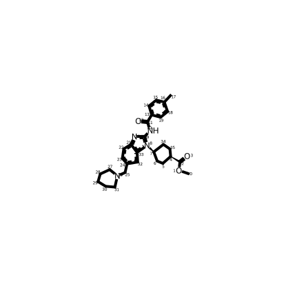 COC(=O)[C@H]1CC[C@@H](n2c(NC(=O)c3ccc(C)cc3)nc3ccc(CN4CCCCC4)cc32)CC1